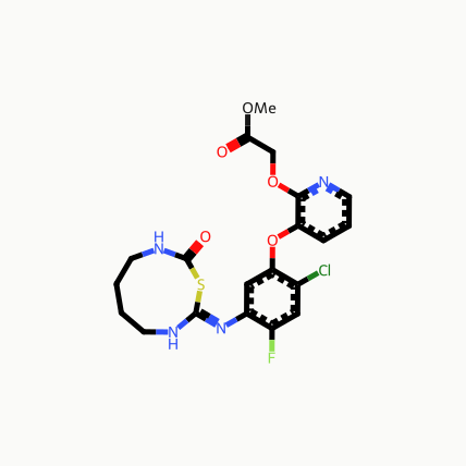 COC(=O)COc1ncccc1Oc1cc(/N=C2/NCCCCNC(=O)S2)c(F)cc1Cl